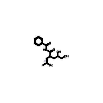 CC(=O)/C(C)=C\N(CC(O)CO)C(=O)NC(=O)c1ccccc1